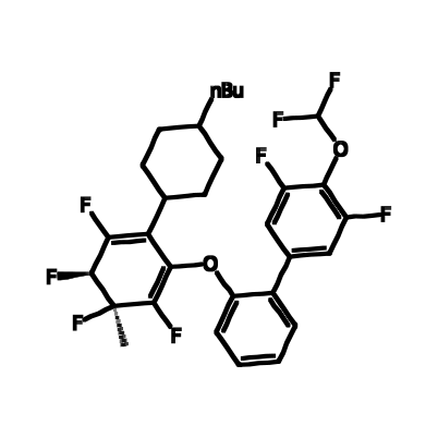 CCCCC1CCC(C2=C(F)[C@H](F)[C@](C)(F)C(F)=C2Oc2ccccc2-c2cc(F)c(OC(F)F)c(F)c2)CC1